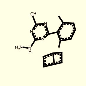 Cc1cccc(C)c1-c1nc(O)nc(NN)n1.c1cc2ccc1-2